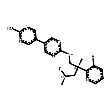 C[C@@H](F)C[C@](C)(CNc1ncc(-c2cnc(O)nc2)cn1)c1ncccc1F